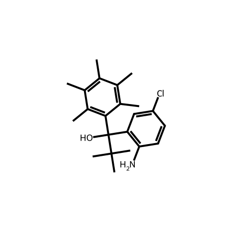 Cc1c(C)c(C)c(C(O)(c2cc(Cl)ccc2N)C(C)(C)C)c(C)c1C